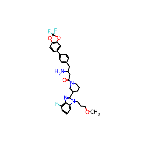 COCCCn1c(C2CCCN(C(=O)CC(N)Cc3ccc(-c4ccc5c(c4)OC(F)(F)O5)cc3)C2)nc2c(F)cccc21